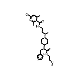 COCCNC(=O)N(Cc1ccsc1)C1CCN(C(C)CCNC(=O)c2c(C)cc(Cl)nc2C)CC1